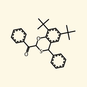 CC(C)(C)c1cc2c(c(C(C)(C)C)c1)OC(C(=O)c1ccccc1)SC2c1ccccc1